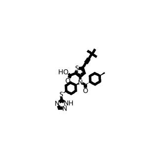 CC(C)(C)C#Cc1cc(N(C(=O)[C@H]2CC[C@H](C)CC2)[C@H]2CC[C@H](Sc3ncn[nH]3)CC2)c(C(=O)O)s1